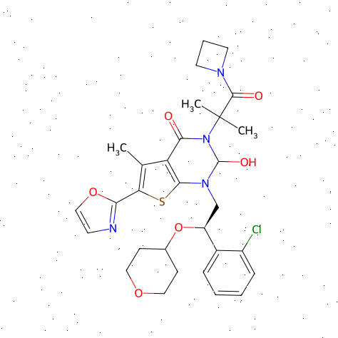 Cc1c(-c2ncco2)sc2c1C(=O)N(C(C)(C)C(=O)N1CCC1)C(O)N2C[C@H](OC1CCOCC1)c1ccccc1Cl